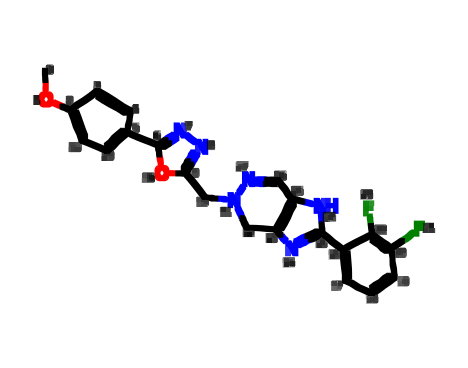 COc1ccc(-c2nnc(CN3Cc4nc(-c5cccc(F)c5F)[nH]c4C=N3)o2)cc1